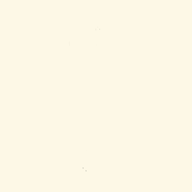 CNc1ccc(C#Cc2ccc(OCCF)c(I)c2)cc1